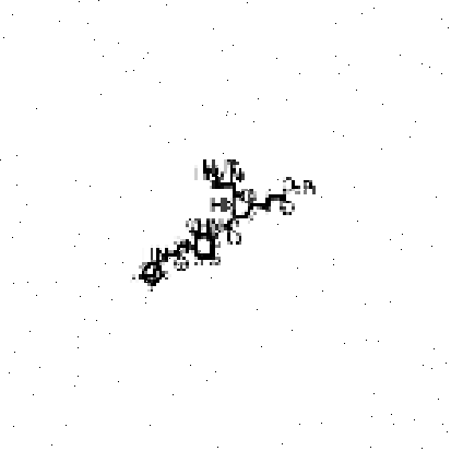 CC(C)OC(=O)/C=C/CCC(NC(=O)/C(C=N)=N/N)C(=O)Nc1cccn(CC(=O)NC23CCC(C2)C3)c1=O